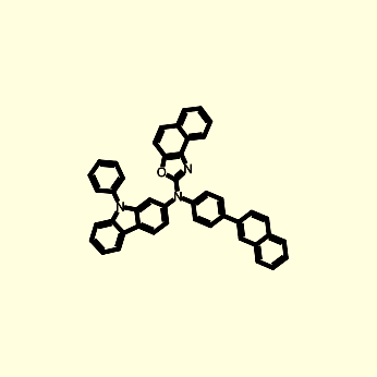 c1ccc(-n2c3ccccc3c3ccc(N(c4ccc(-c5ccc6ccccc6c5)cc4)c4nc5c(ccc6ccccc65)o4)cc32)cc1